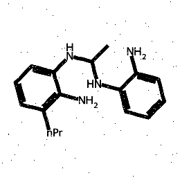 CCCc1cccc(NC(C)Nc2ccccc2N)c1N